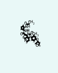 C=CC(=O)N[C@H]1CCC[C@H]1NC(=O)c1sc2nccc3c2c1NC(=O)N3c1ccc(O[C@@H]2CCOC2)cc1C